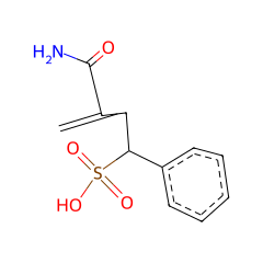 C=C(CC(c1ccccc1)S(=O)(=O)O)C(N)=O